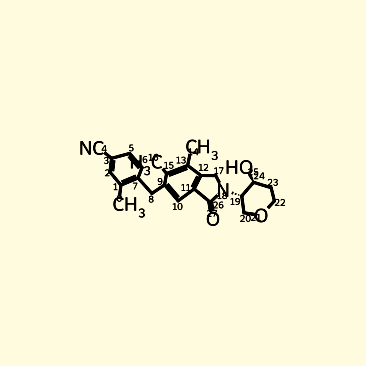 Cc1cc(C#N)ccc1Cc1cc2c(c(C)c1C)CN([C@H]1COCC[C@@H]1O)C2=O